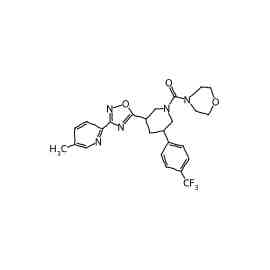 Cc1ccc(-c2noc(C3CC(c4ccc(C(F)(F)F)cc4)CN(C(=O)N4CCOCC4)C3)n2)nc1